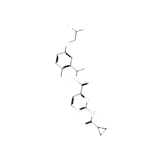 Cc1ccc(OCC(F)F)cc1C(C)NC(=O)c1ccnc(NC(=O)C2CC2)n1